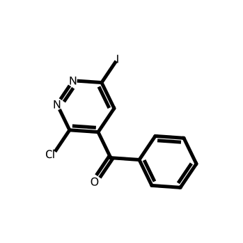 O=C(c1ccccc1)c1cc(I)nnc1Cl